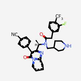 C[C@H](c1nc2ccccn2c(=O)c1-c1ccc(C#N)cc1)N(CC1CCNCC1)C(=O)Cc1ccc(C(F)(F)F)c(F)c1